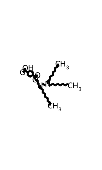 CCCCCCCCCN(CCCCCCCCC)CCN(CCCCCCCCC)CCOC(=O)C1CCC(C(=O)O)CC1